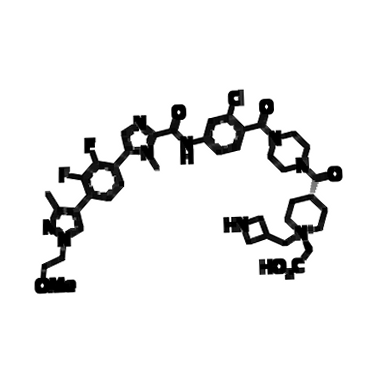 COCCn1cc(-c2ccc(-c3cnc(C(=O)Nc4ccc(C(=O)N5CCN(C(=O)[C@H]6CC[N@@+](CC(=O)O)(CC7CNC7)CC6)CC5)c(Cl)c4)n3C)c(F)c2F)c(C)n1